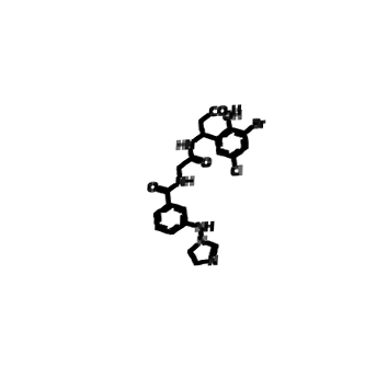 O=C(O)CC(NC(=O)CNC(=O)c1cccc(NN2C=NCC2)c1)c1cc(Cl)cc(Br)c1O